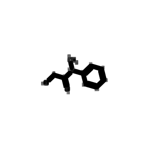 CN(C(=O)C[O])c1ccccc1